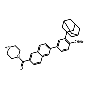 COc1ccc(-c2ccc3cc(C(=O)N4CCNCC4)ccc3c2)cc1C12CC3CC(CC(C3)C1)C2